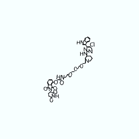 O=C(COc1cccc2c1C(=O)N(C1CCC(=O)NC1=O)C2=O)NCCOCCOCCOCCN1CCCC(Nc2ncc(Cl)c(-c3c[nH]c4ccccc34)n2)C1